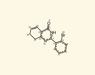 O=c1[nH]c(-c2ccccc2Br)nc2c1C=CCC2